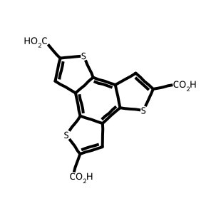 O=C(O)c1cc2c(s1)c1cc(C(=O)O)sc1c1cc(C(=O)O)sc21